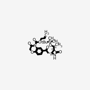 C=CCOC(=O)N1C(=O)COc2ccc(C(=O)C[C@H]3NC(=O)[C@@H]3[C@@H](C)O[Si](C)(C)C(C)(C)C)cc21